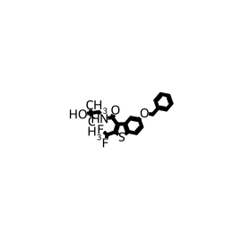 CC(C)(O)CNC(=O)c1c(C(F)F)sc2ccc(OCc3ccccc3)cc12